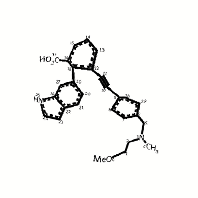 COCCN(C)Cc1ccc(C#Cc2cccc(C(=O)O)c2-c2ccc3cc[nH]c3c2)cc1